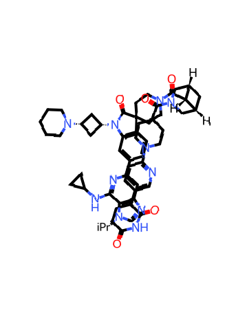 CC(C)n1cnc2cc(-c3ccc4c(c3)N([C@H]3C[C@@H](N5CCCCC5)C3)C(=O)C43CCN(C(=O)[C@H]4[C@@H]5C[C@H]4CN(C(=O)C4CCN(c6ccc(C7CCC(=O)NC7=O)cn6)CC4)C5)CC3)nc(NC3CC3)c21